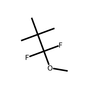 COC(F)(F)C(C)(C)C